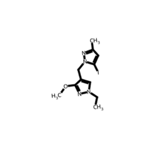 CCn1cc(Cn2nc(C)cc2I)c(OC)n1